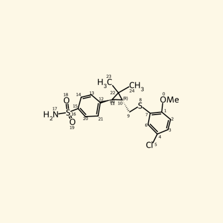 COc1ccc(Cl)cc1SC[C@@H]1[C@@H](c2ccc(S(N)(=O)=O)cc2)C1(C)C